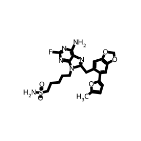 Cc1ccc(-c2cc3c(cc2Cc2nc4c(N)nc(F)nc4n2CCCCCS(N)(=O)=O)OCO3)o1